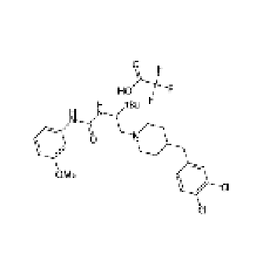 COc1cccc(NC(=O)NC(CN2CCC(Cc3ccc(Cl)c(Cl)c3)CC2)C(C)(C)C)c1.O=C(O)C(F)(F)F